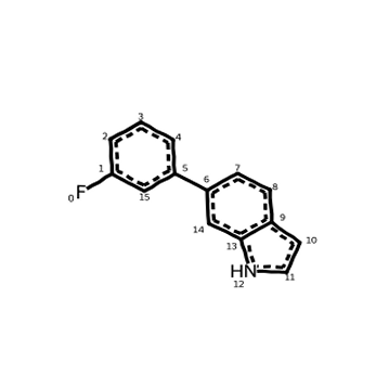 Fc1cccc(-c2ccc3cc[nH]c3c2)c1